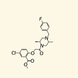 COC(=O)c1cc(Cl)ccc1OCC(=O)N1CC(C)N(Cc2ccc(F)cc2)C[C@@H]1C